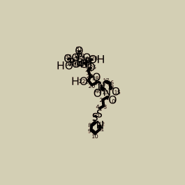 O=C(CCCSSc1ccccn1)n1c(=O)ccn(C2CC(O)C(COP(=O)(O)OP(=O)(O)OP(=O)(O)O)O2)c1=O